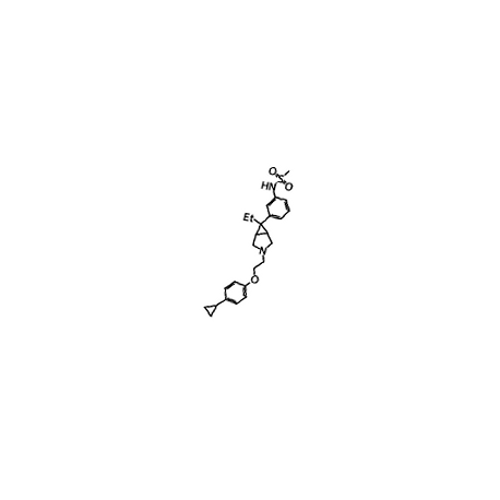 CCC1(c2cccc(NS(C)(=O)=O)c2)C2CN(CCOc3ccc(C4CC4)cc3)CC21